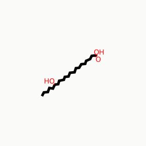 CCCCCC(O)CCCCCCCCCCCCCCC(=O)O